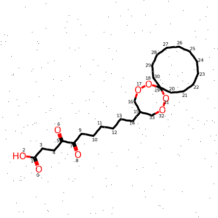 O=C(O)CCC(=O)C(=O)CCCCCCC1COOC2(CCCCCCCCCCC2)OOC1